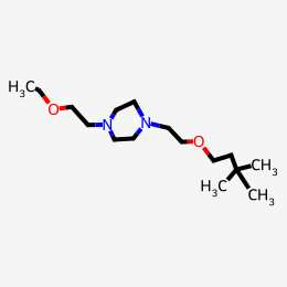 CCOCCN1CCN(CCOCCC(C)(C)C)CC1